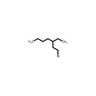 CCCCC(CC)CCBr